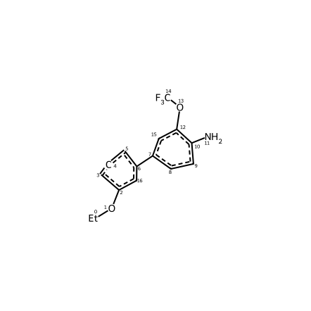 CCOc1cccc(-c2ccc(N)c(OC(F)(F)F)c2)c1